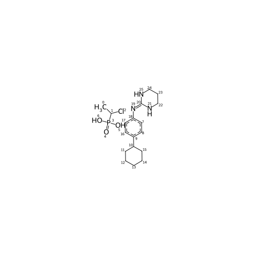 CC(Cl)P(=O)(O)O.c1cc(C2CCCCC2)ccc1N=C1NCCCN1